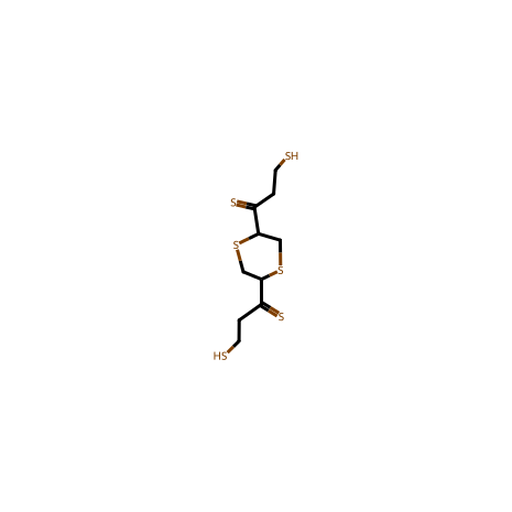 S=C(CCS)C1CSC(C(=S)CCS)CS1